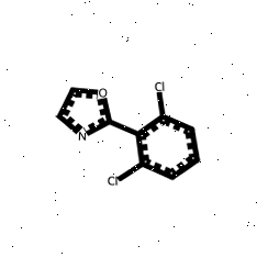 Clc1cccc(Cl)c1-c1n[c]co1